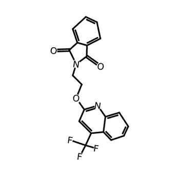 O=C1c2ccccc2C(=O)N1CCOc1cc(C(F)(F)F)c2ccccc2n1